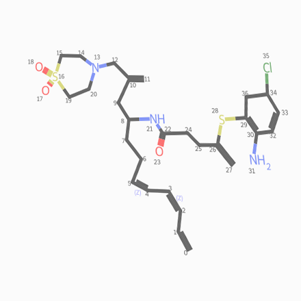 C=C/C=C\C=C/CCC(CC(=C)CN1CCS(=O)(=O)CC1)NC(=O)CCC(=C)SC1=C(N)C=CC(Cl)C1